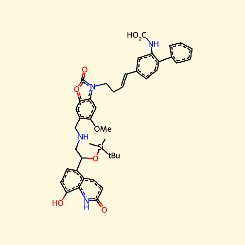 COc1cc2c(cc1CNCC(O[Si](C)(C)C(C)(C)C)c1ccc(O)c3[nH]c(=O)ccc13)oc(=O)n2CC/C=C/c1ccc(-c2ccccc2)c(NC(=O)O)c1